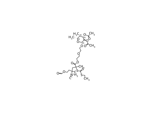 [C-]#[N+]C(C)(CCOC=O)CC(C)(SC(=S)SCC)C(=O)OCCOCCO[C@@H]1O[C@H](C)[C@H](C)[C@H](OC(C)=O)[C@H]1OC(C)=O